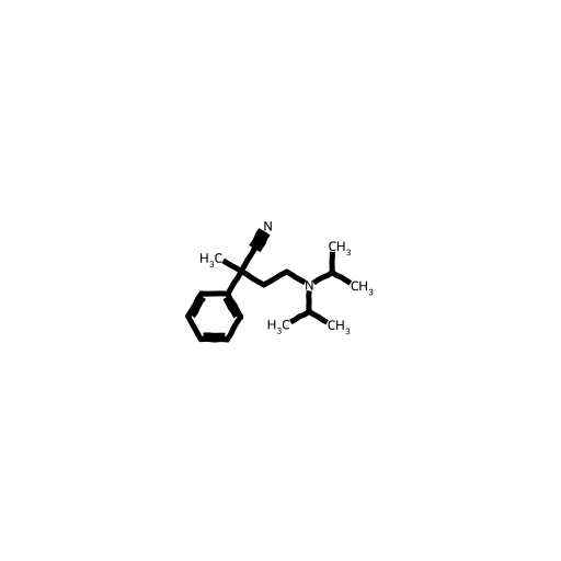 CC(C)N(CCC(C)(C#N)c1ccccc1)C(C)C